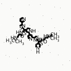 CC(C)NCCC(=O)Nc1sc2c(c1-c1nc(-c3cc(C4NCCc5c4sc(NC(=O)CCNC(C)C)c5-c4nc(-c5cccnc5)cs4)ccn3)cs1)CCNC2